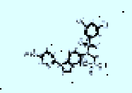 CSc1ccc(-n2ccc3cc(N(CP(=O)(O)O)S(=O)(=O)c4cc(Cl)cc(Cl)c4)ccc32)nn1